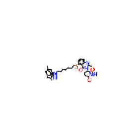 Cc1nc2cccc(SCCCCCCCNC34CC5CC(C)(CC(C)(C5)C3)C4)c2c(=O)n1[C@H]1CCC(=O)NC1=O